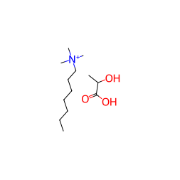 CC(O)C(=O)O.CCCCCCC[N+](C)(C)C